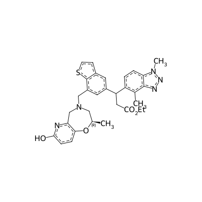 CCOC(=O)CC(c1cc(CN2Cc3nc(O)ccc3O[C@H](C)C2)c2sccc2c1)c1ccc2c(nnn2C)c1C